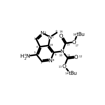 Cn1ncc2c(N)cnc(N(C(=O)OC(C)(C)C)C(=O)OC(C)(C)C)c21